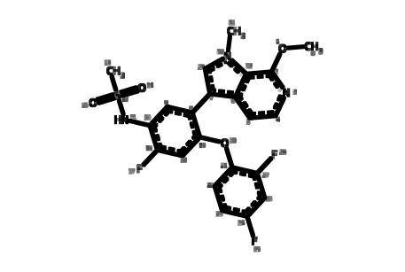 COc1nccc2c(-c3cc(NS(C)(=O)=O)c(F)cc3Oc3ccc(F)cc3F)cn(C)c12